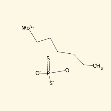 CCCCC[CH2][Mo+3].[O-]P([O-])(=S)[S-]